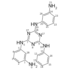 Nc1cccc(Nc2nc(Nc3ccccc3)nc(Nc3cccc(N)c3)n2)c1